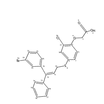 O=C(O)COc1ccc(SCC=C(c2ccccc2)c2cccc(Br)c2)cc1Cl